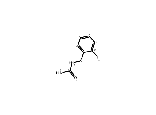 NC(=O)NSc1ccccc1F